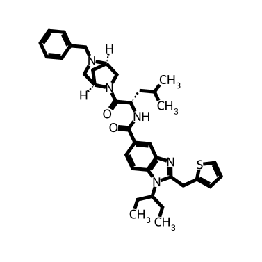 CCC(CC)n1c(Cc2cccs2)nc2cc(C(=O)N[C@@H](CC(C)C)C(=O)N3C[C@H]4C[C@@H]3CN4Cc3ccccc3)ccc21